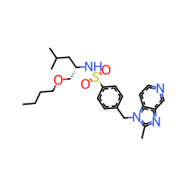 CCCCOC[C@H](CC(C)C)NS(=O)(=O)c1ccc(Cn2c(C)nc3cnccc32)cc1